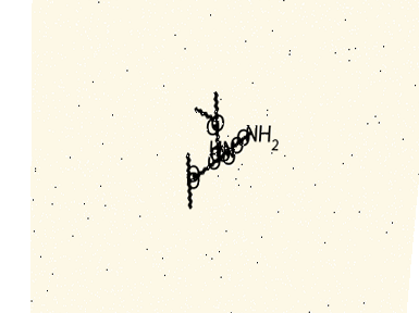 CCCCCCCCC(CCCCCCCC)OC(=O)CCCCCCCOCC(COC(=O)NCCOCCOCCN)OCCCCCCCC(=O)OC(CCCCCCCC)CCCCCCCC